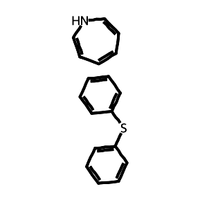 C1=CC=CNC=C1.c1ccc(Sc2ccccc2)cc1